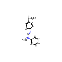 CCCCN(C=Nc1ccc(C(=O)OCC)cc1)c1ccccc1